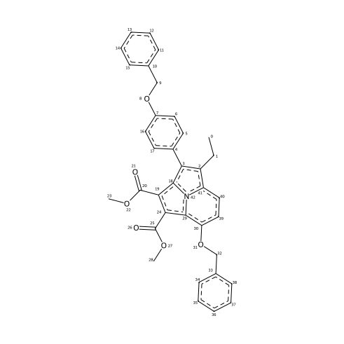 CCc1c(-c2ccc(OCc3ccccc3)cc2)c2c(C(=O)OC)c(C(=O)OC)c3c(OCc4ccccc4)ccc1n32